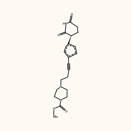 CC(C)(C)OC(=O)N1CCN(CCC#Cc2ccc([C@@H]3CCC(=O)NC3=O)cc2)CC1